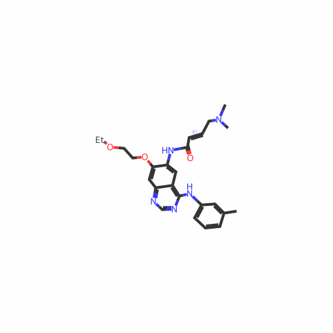 CCOCCOc1cc2ncnc(Nc3cccc(C)c3)c2cc1NC(=O)/C=C/CN(C)C